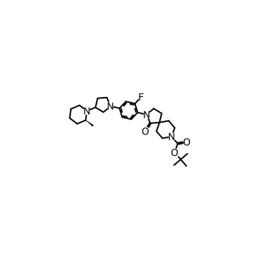 C[C@H]1CCCCN1C1CCN(c2ccc(N3CCC4(CCN(C(=O)OC(C)(C)C)CC4)C3=O)c(F)c2)C1